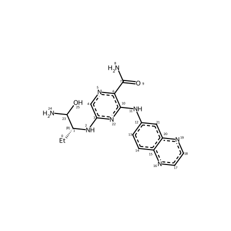 CC[C@@H](Nc1cnc(C(N)=O)c(Nc2ccc3nccnc3c2)n1)C(N)O